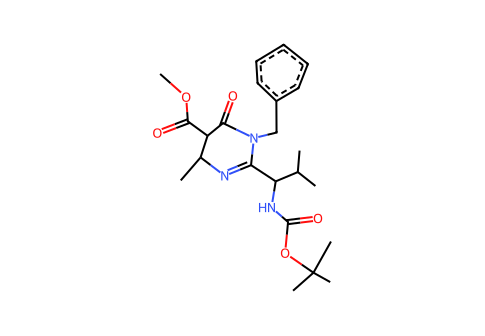 COC(=O)C1C(=O)N(Cc2ccccc2)C(C(NC(=O)OC(C)(C)C)C(C)C)=NC1C